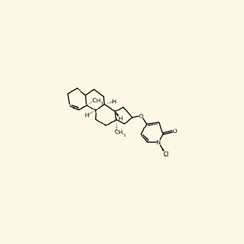 C[C@]12CC[C@@H]3[C@@H](CCC4CCC=C[C@@]43C)[C@@H]1CC(Oc1ccn(Cl)c(=O)c1)C2